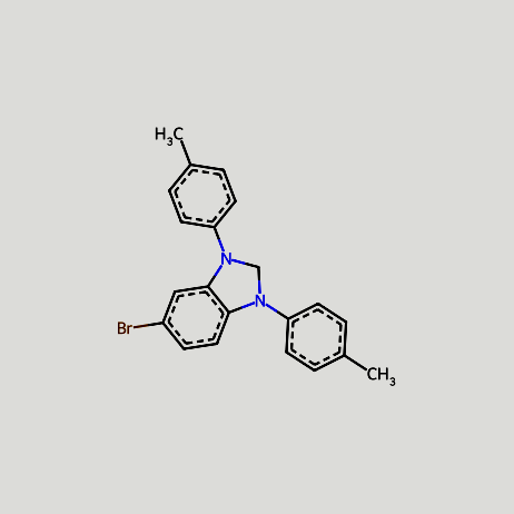 Cc1ccc(N2CN(c3ccc(C)cc3)c3cc(Br)ccc32)cc1